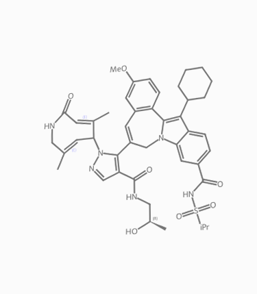 COc1ccc2c(c1)C=C(c1c(C(=O)NC[C@@H](C)O)cnn1C1/C=C(\C)CNC(=O)/C=C/1C)Cn1c-2c(C2CCCCC2)c2ccc(C(=O)NS(=O)(=O)C(C)C)cc21